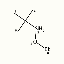 CCO[SiH2]C(C)(C)C